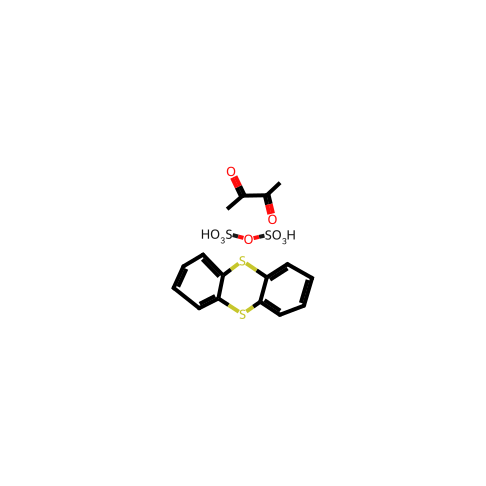 CC(=O)C(C)=O.O=S(=O)(O)OS(=O)(=O)O.c1ccc2c(c1)Sc1ccccc1S2